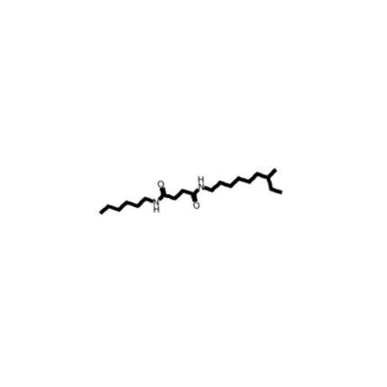 CCCCCCNC(=O)CCC(=O)NCCCCCCC(C)CC